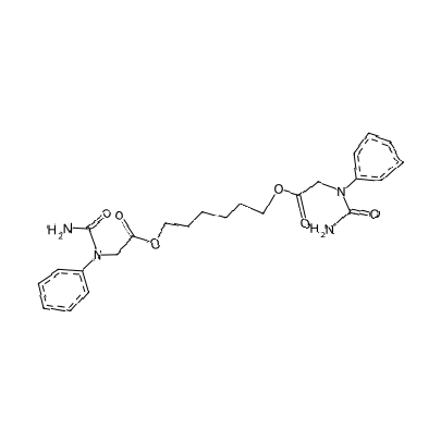 NC(=O)N(CC(=O)OCCCCCCOC(=O)CN(C(N)=O)c1ccccc1)c1ccccc1